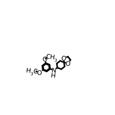 COc1cc(NC2CCC3(CC2)OCCO3)cc(OC)c1